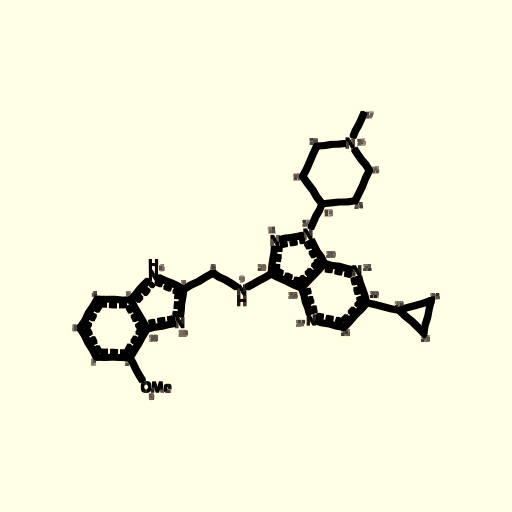 COc1cccc2[nH]c(CNc3nn(C4CCN(C)CC4)c4nc(C5CC5)cnc34)nc12